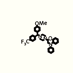 COc1ccc(C(c2ccc(C(F)(F)F)cc2)N2CCN(C(=O)CN(c3ccccc3)c3ccccc3)CC2)cc1